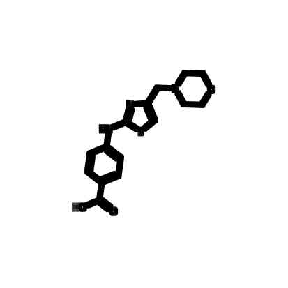 O=C(O)c1ccc(Nc2nc(CN3CCOCC3)cs2)cc1